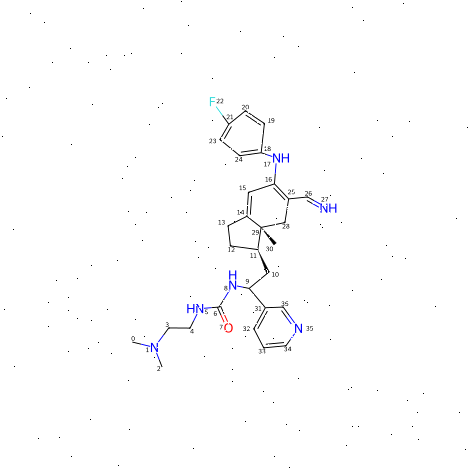 CN(C)CCNC(=O)NC(C[C@H]1CCC2=CC(Nc3ccc(F)cc3)=C(C=N)C[C@@]21C)c1cccnc1